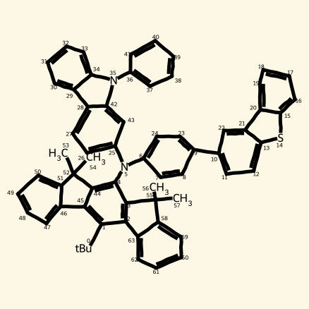 CC(C)(C)c1c2c(c(N(c3ccc(-c4ccc5sc6ccccc6c5c4)cc3)c3ccc4c5ccccc5n(-c5ccccc5)c4c3)c3c1-c1ccccc1C3(C)C)C(C)(C)c1ccccc1-2